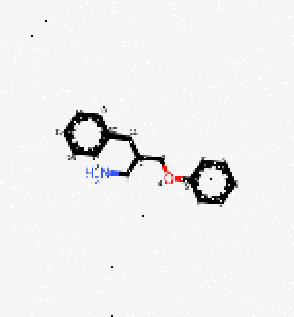 NCC(COc1ccccc1)Cc1ccccc1